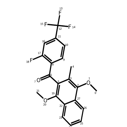 COc1c(C)c(C(=O)c2ccc(C(F)(F)F)cc2F)c(OC)c2ccccc12